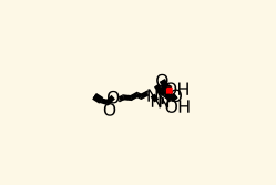 C#CC(=O)OCCCCCCN1N=NC(C)(C(=O)O)C1(C)C(=O)O